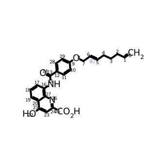 C=CCCC/C=C/COc1ccc(C(=O)Nc2cccc3c(O)cc(C(=O)O)nc23)cc1